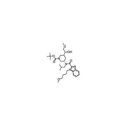 COCCCCn1c(C(=O)N(CC(C)C)[C@H]2CC([C@H](O)COC)CN(C(=O)OC(C)(C)C)C2)nc2ccccc21